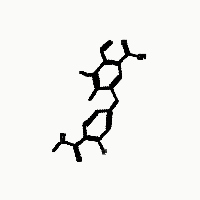 C=Cc1c(C(=O)O)cc(Cc2ccc(C(=O)NC)c(F)c2)c(C)c1C